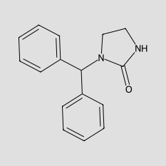 O=C1NCCN1C(c1ccccc1)c1ccccc1